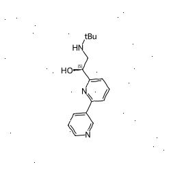 CC(C)(C)NC[C@H](O)c1cccc(-c2cccnc2)n1